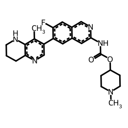 Cc1c(-c2cc3cc(NC(=O)OC4CCN(C)CC4)ncc3cc2F)cnc2c1NCCC2